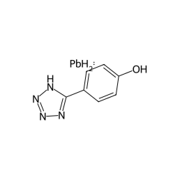 Oc1ccc(-c2nnn[nH]2)cc1.[PbH2]